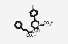 O=C(O)CN1CC(c2ccc(F)cc2)CCC(NC(CCc2ccccc2)C(=O)O)C1=O